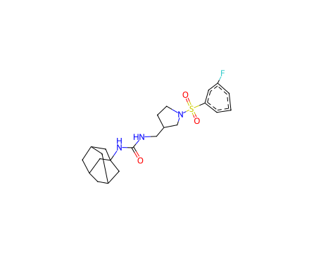 O=C(NCC1CCN(S(=O)(=O)c2cccc(F)c2)C1)NC12CC3CC(CC(C3)C1)C2